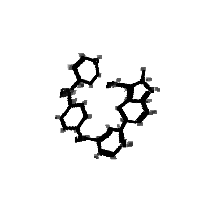 CC(C)c1c2cc(-c3cc(NC4CCC(NC5CCOCC5)CC4)ncn3)ccc2nn1C